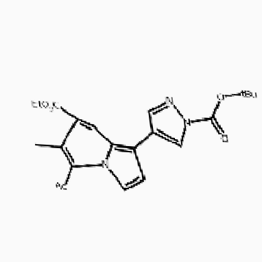 CCOC(=O)c1cc2c(-c3cnn(C(=O)OC(C)(C)C)c3)ccn2c(C(C)=O)c1C